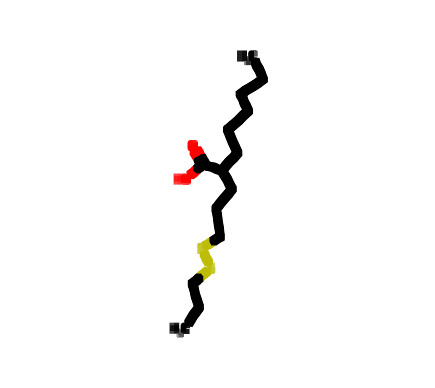 CCCCCCC(CCCSSCCC)C(=O)O